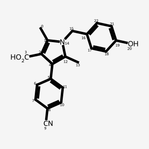 Cc1c(C(=O)O)c(-c2ccc(C#N)cc2)c(C)n1Cc1ccc(O)cc1